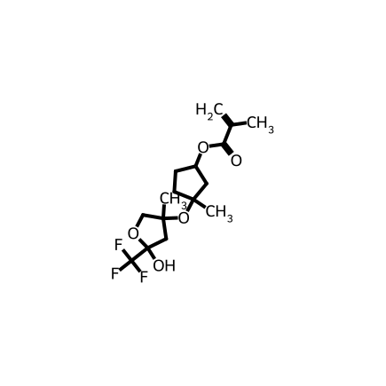 C=C(C)C(=O)OC1CCC(C)(OC2(C)COC(O)(C(F)(F)F)C2)C1